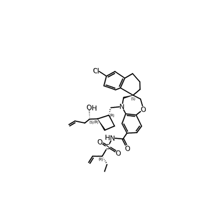 C=CC[C@H](O)[C@@H]1CC[C@H]1CN1C[C@@]2(CCCc3cc(Cl)ccc32)COc2ccc(C(=O)NS(=O)(=O)[C@@H](C=C)CC)cc21